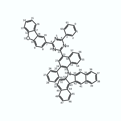 c1ccc(-c2nc(-c3ccc4oc5ccccc5c4c3)nc(-c3cc(-c4ccccc4)c(-n4c5cc6ccccc6cc5c5c6ccccc6ccc54)c4ccccc34)n2)cc1